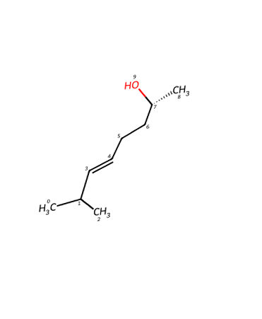 CC(C)/C=C/CC[C@@H](C)O